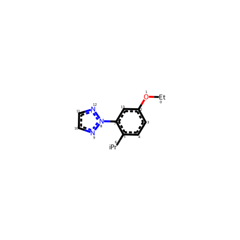 CCOc1ccc(C(C)C)c(-n2nccn2)c1